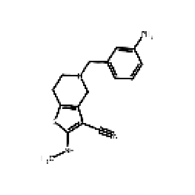 CNc1sc2c(c1C#N)CN(Cc1cccc(P)c1)CC2